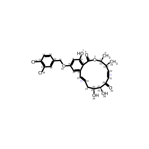 C[C@@H]1OC(=O)c2c(O)cc(OCc3ccc(Cl)c(Cl)c3)cc2/C=C/C[C@H](O)[C@H](O)C(=O)/C=C\[C@@H]1C